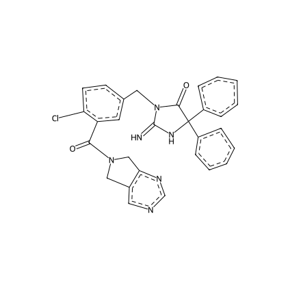 N=C1NC(c2ccccc2)(c2ccccc2)C(=O)N1Cc1ccc(Cl)c(C(=O)N2Cc3cncnc3C2)c1